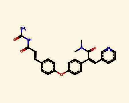 CN(C)C(=O)C(=Cc1cccnc1)c1ccc(Oc2ccc(C=CC(=O)NC(N)=O)cc2)cc1